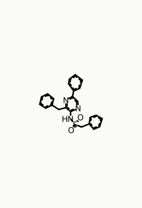 O=S(=O)(Cc1ccccc1)Nc1ncc(-c2ccccc2)nc1Cc1ccccc1